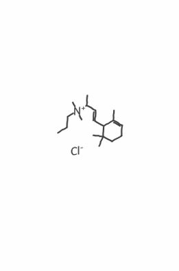 CCC[N+](C)(C)C(C)/C=C/C1C(C)=CCCC1(C)C.[Cl-]